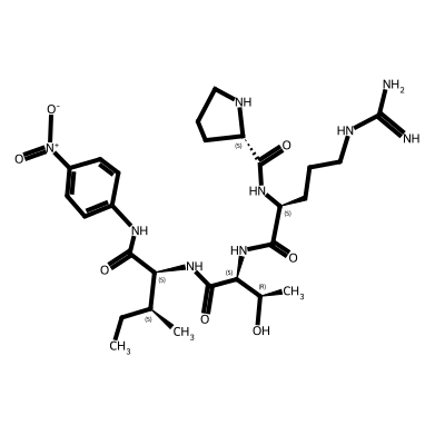 CC[C@H](C)[C@H](NC(=O)[C@@H](NC(=O)[C@H](CCCNC(=N)N)NC(=O)[C@@H]1CCCN1)[C@@H](C)O)C(=O)Nc1ccc([N+](=O)[O-])cc1